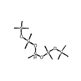 C[SiH](O[Si](C)(C)O[Si](C)(C)C)O[Si](C)(C)O[Si](C)(C)C